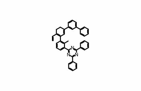 C=CC1=C(c2cccc(-c3nc(-c4ccccc4)nc(-c4ccccc4)n3)c2C)C=C(c2cccc(-c3ccccc3)c2)CC1